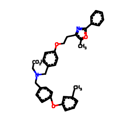 Cc1cccc(Oc2ccc(CN(CC(=O)O)Cc3ccc(OCCc4nc(-c5ccccc5)oc4C)cc3)cc2)c1